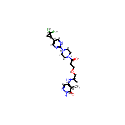 CC(COCCC(=O)N1CCN(c2ncc(C3CC3(F)F)cn2)CC1)Nc1cn[nH]c(=O)c1C(F)(F)F